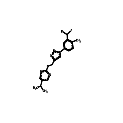 Cc1ccc(-n2cc(COc3ncc(C(C)C)cn3)nn2)cc1C(F)F